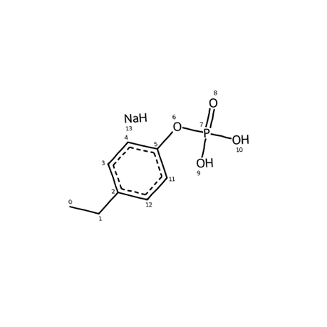 CCc1ccc(OP(=O)(O)O)cc1.[NaH]